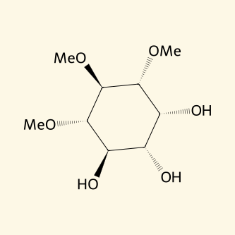 CO[C@H]1[C@H](OC)[C@H](O)[C@H](O)[C@@H](O)[C@@H]1OC